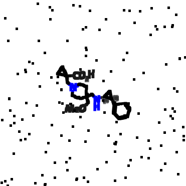 COCC1(CN[C@@H]2C[C@H]2c2ccccc2)CCN(CC2(C(=O)O)CC2)CC1